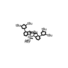 CCCCC1=Cc2c(-c3cc(C(C)(C)C)cc(C(C)(C)C)c3)cccc2[CH]1[Hf]1([CH]2C(CCCC)=Cc3c(-c4cc(C(C)(C)C)cc(C(C)(C)C)c4)cccc32)[CH2][CH2]1.Cl.Cl